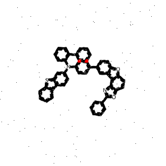 c1ccc(-c2nc3c(ccc4oc5ccc(-c6ccc(N(c7ccc8c(c7)sc7ccccc78)c7ccccc7-c7ccccc7)cc6)cc5c43)o2)cc1